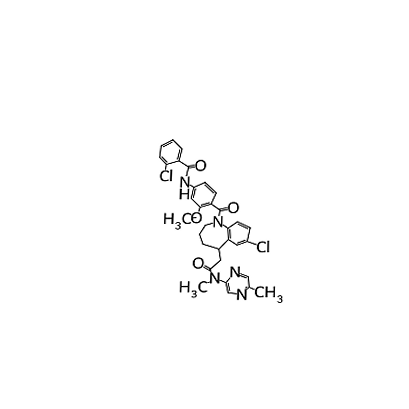 COc1cc(NC(=O)c2ccccc2Cl)ccc1C(=O)N1CCCC(CC(=O)N(C)c2cnc(C)cn2)c2cc(Cl)ccc21